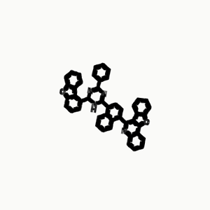 c1ccc(C2=NC(c3cccc4oc5ccccc5c34)NC(c3ccc(-c4nc5ccccc5c5oc6ccccc6c45)c4ccccc34)=N2)cc1